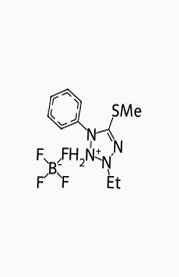 CCN1N=C(SC)N(c2ccccc2)[NH2+]1.F[B-](F)(F)F